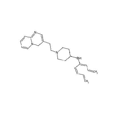 C=C/C=C\C(BC1CCN(CCC2=CN=C3C=CC=CN3C2)CC1)=C/C=C